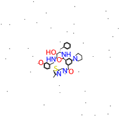 COc1cccc(CNC[C@@H](O)[C@H](Cc2ccccc2)NC(=O)c2cc(C(=O)N(C)Cc3nc(C)cs3)cc(N3CCCCC3)c2)c1